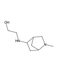 CN1CC2CC1CC2NCCO